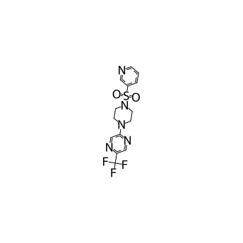 O=S(=O)(c1cccnc1)N1CCN(c2cnc(C(F)(F)F)cn2)CC1